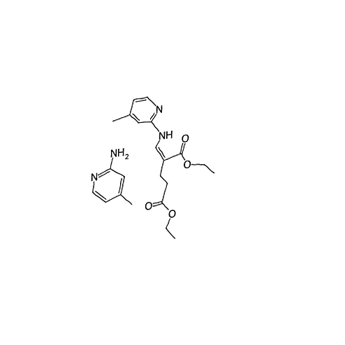 CCOC(=O)CC/C(=C/Nc1cc(C)ccn1)C(=O)OCC.Cc1ccnc(N)c1